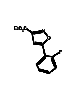 CCOC(=O)c1cc(-c2ccccc2F)on1